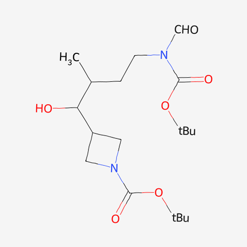 CC(CCN(C=O)C(=O)OC(C)(C)C)C(O)C1CN(C(=O)OC(C)(C)C)C1